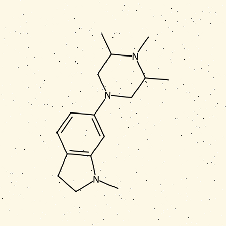 CC1CN(c2ccc3c(c2)N(C)CC3)CC(C)N1C